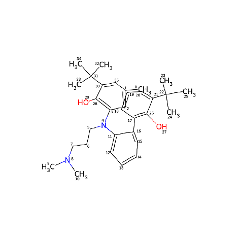 Cc1cc(N(CCCN(C)C)c2ccccc2-c2cccc(C(C)(C)C)c2O)c(O)c(C(C)(C)C)c1